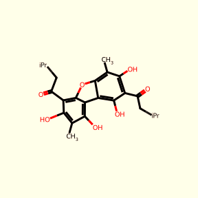 Cc1c(O)c(C(=O)CC(C)C)c2oc3c(C)c(O)c(C(=O)CC(C)C)c(O)c3c2c1O